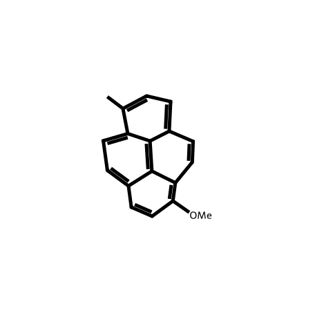 COc1ccc2ccc3c(C)ccc4ccc1c2c43